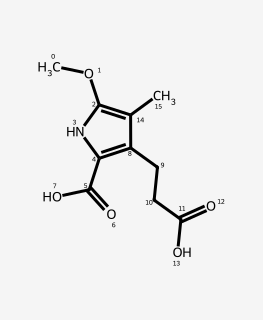 COc1[nH]c(C(=O)O)c(CCC(=O)O)c1C